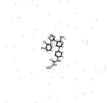 CC(C)(C)NC(=O)Nc1ccc(-c2cnc(N)c(-c3nnnn3-c3cccc(F)c3F)c2)cc1